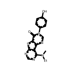 CCN(C)c1ncnc2sc3c(=O)n(-c4ccc(O)cc4)cnc3c12